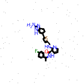 CC(NC(=O)c1cccnc1NCc1ccc(-c2ccc3nc(N)[nH]c3c2)s1)c1ccc(F)cc1